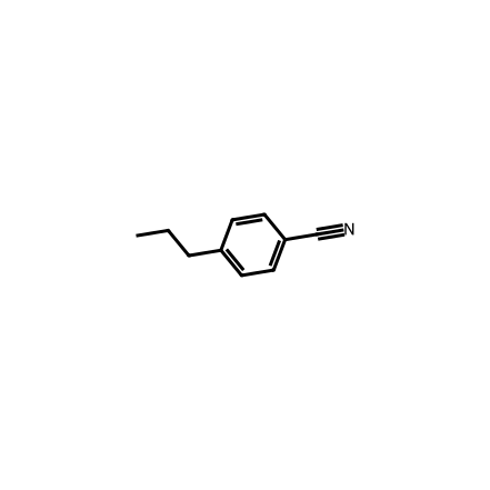 CCCc1ccc(C#N)cc1